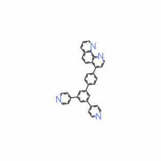 c1cnc2c(c1)ccc1c(-c3ccc(-c4cc(-c5ccncc5)cc(-c5ccncc5)c4)cc3)ccnc12